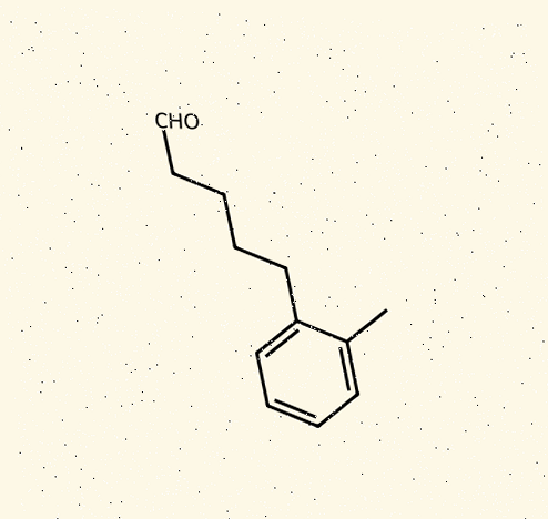 Cc1ccccc1CCCCC=O